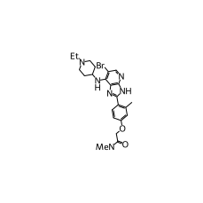 CCN1CCC(Nc2c(Br)cnc3[nH]c(-c4ccc(OCC(=O)NC)cc4C)nc23)CC1